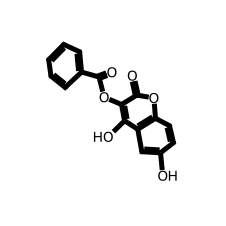 O=C(Oc1c(O)c2cc(O)ccc2oc1=O)c1ccccc1